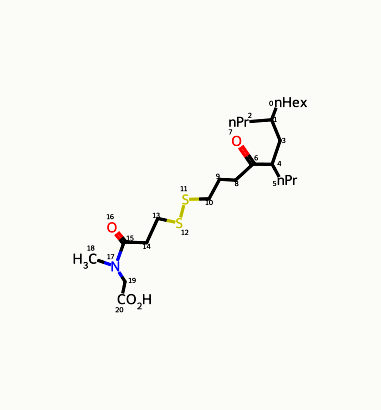 CCCCCCC(CCC)CC(CCC)C(=O)CCCSSCCC(=O)N(C)CC(=O)O